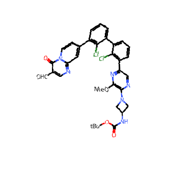 COc1nc(-c2cccc(-c3cccc(-c4ccn5c(=O)c(C=O)cnc5c4)c3Cl)c2Cl)cnc1N1CC(NC(=O)OC(C)(C)C)C1